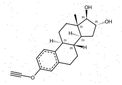 C#COc1ccc2c(c1)CC[C@@H]1[C@@H]2CC[C@]2(C)[C@@H](O)[C@H](O)C[C@@H]12